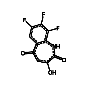 O=c1[nH]c2c(F)c(F)c(F)cc2c(=O)cc1O